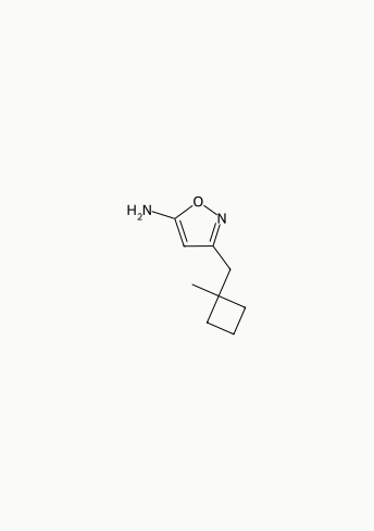 CC1(Cc2cc(N)on2)CCC1